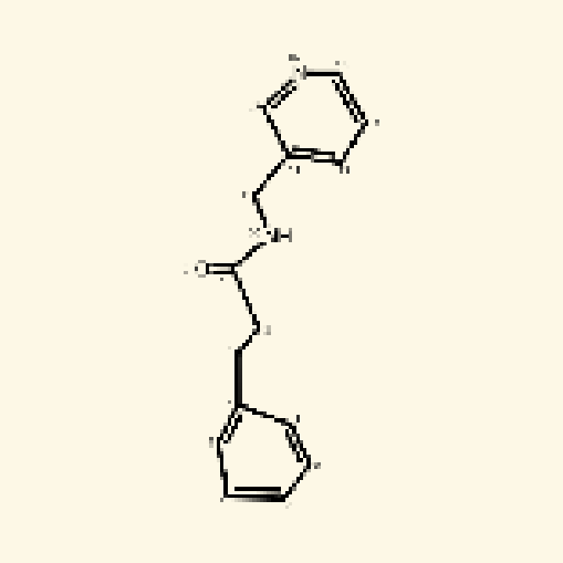 O=C([CH]Cc1ccccc1)NCc1cccnc1